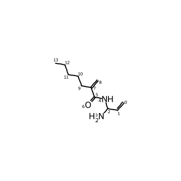 C=CC(N)NC(=O)C(=C)CCCCC